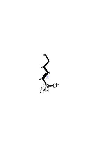 CCC/C=C/[SiH](Cl)Cl